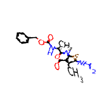 Cc1c(N)sc2nc([C@H](C)NC(=O)OCc3ccccc3)oc(=O)c12